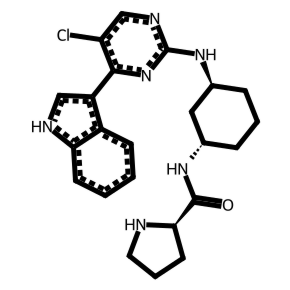 O=C(N[C@H]1CCC[C@H](Nc2ncc(Cl)c(-c3c[nH]c4ccccc34)n2)C1)[C@H]1CCCN1